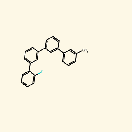 Cc1cccc(-c2cccc(-c3cccc(-c4ccccc4F)c3)c2)c1